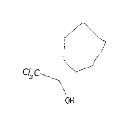 C1CCCCC1.OCC(Cl)(Cl)Cl